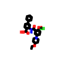 CCOC1CCN(c2ccc(O)c(C(=O)Nc3cc(-c4ccccc4)ccc3C(=O)O)c2)CC1.Cl